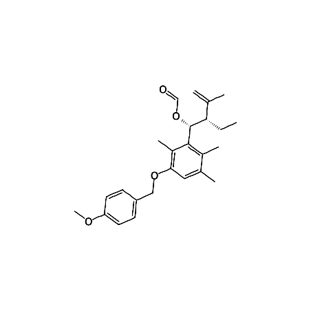 C=C(C)[C@H](CC)[C@@H](OC=O)c1c(C)c(C)cc(OCc2ccc(OC)cc2)c1C